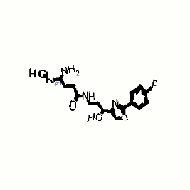 N/C(CCC(=O)NCCC(O)c1coc(-c2ccc(F)cc2)n1)=N\O